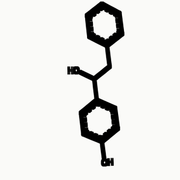 Oc1ccc(C(O)Cc2ccccc2)cc1